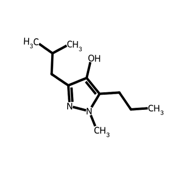 CCCc1c(O)c(CC(C)C)nn1C